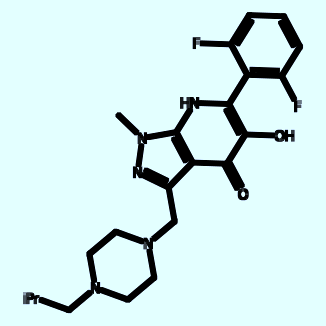 CC(C)CN1CCN(Cc2nn(C)c3[nH]c(-c4c(F)cccc4F)c(O)c(=O)c23)CC1